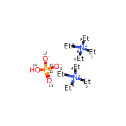 CC[N+](CC)(CC)CC.CC[N+](CC)(CC)CC.O=P([O-])([O-])O